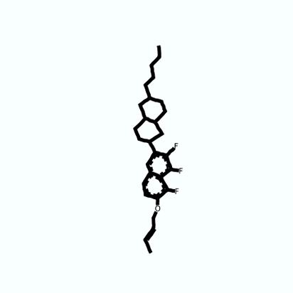 CC=CCOc1ccc2cc(C3CCC4CC(CCCCC)CCC4C3)c(F)c(F)c2c1F